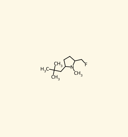 CN1C(CF)CCC1CC(C)(C)C